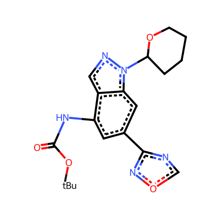 CC(C)(C)OC(=O)Nc1cc(-c2ncon2)cc2c1cnn2C1CCCCO1